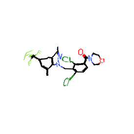 CC1=CC(C(F)(F)F)Cc2c(C)nn(Cc3c(Cl)ccc(C(=O)N4CCOCC4)c3Cl)c21